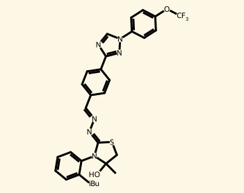 CCC(C)c1ccccc1N1C(=NN=Cc2ccc(-c3ncn(-c4ccc(OC(F)(F)F)cc4)n3)cc2)SCC1(C)O